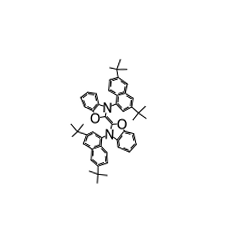 CC(C)(C)c1ccc2c(N3/C(=C4\Oc5ccccc5N4c4cc(C(C)(C)C)cc5cc(C(C)(C)C)ccc45)Oc4ccccc43)cc(C(C)(C)C)cc2c1